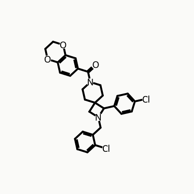 O=C(c1ccc2c(c1)OCCO2)N1CCC2(CC1)CN(Cc1ccccc1Cl)C2c1ccc(Cl)cc1